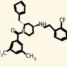 Cc1cc(C)cc(C(=O)N2CC[C@H](NCCc3ccccc3C(F)(F)F)C[C@H]2Cc2ccccc2)c1